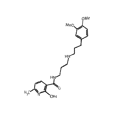 COc1ccc(CCCNCCCNC(=O)c2ccc(C)nc2O)cc1OC